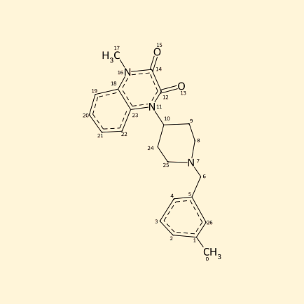 Cc1cccc(CN2CCC(n3c(=O)c(=O)n(C)c4ccccc43)CC2)c1